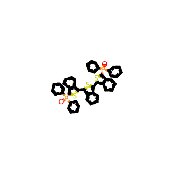 O=P(c1ccccc1)(c1ccccc1)c1sc(-c2sc(-c3sc(P(=O)(c4ccccc4)c4ccccc4)c4ccccc34)c3ccccc23)c2ccccc12